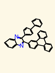 c1ccc(-c2ccc(-c3nc4ccccc4nc3-c3ccc4c5ccccc5c5ccccc5c4c3)cc2)cc1